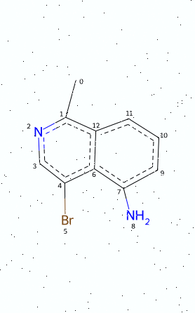 Cc1ncc(Br)c2c(N)cccc12